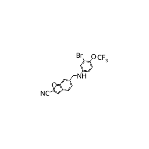 N#Cc1cc2ccc(CNc3ccc(OC(F)(F)F)c(Br)c3)cc2o1